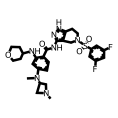 CN1CC(N(C)c2ccc(C(=O)Nc3n[nH]c4c3CN(S(=O)(=O)c3cc(F)cc(F)c3)CC4)c(NC3CCOCC3)c2)C1